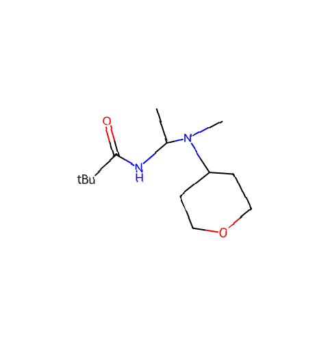 CC(NC(=O)C(C)(C)C)N(C)C1CCOCC1